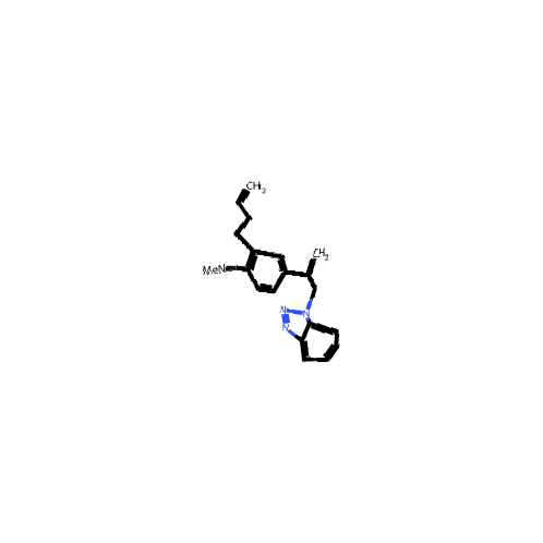 C=CCCc1cc(C(=C)Cn2nnc3ccccc32)ccc1NC